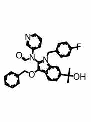 CC(C)(O)c1ccc2c(OCc3ccccc3)c(N(C=O)c3cccnc3)n(Cc3ccc(F)cc3)c2c1